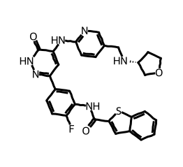 O=C(Nc1cc(-c2cc(Nc3ccc(CN[C@@H]4CCOC4)cn3)c(=O)[nH]n2)ccc1F)c1cc2ccccc2s1